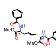 COC(=O)[C@H](CC=CC[C@H](NC(=O)c1ccccc1)C(=O)OC)NC(=O)c1ccccc1